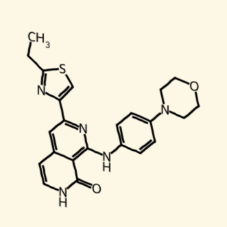 CCc1nc(-c2cc3cc[nH]c(=O)c3c(Nc3ccc(N4CCOCC4)cc3)n2)cs1